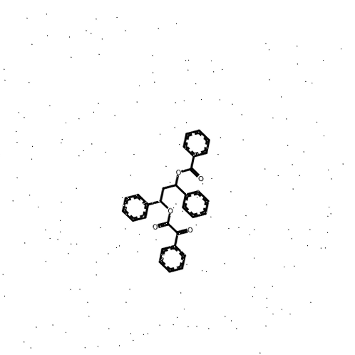 O=C(OC(CC(OC(=O)c1ccccc1)c1ccccc1)c1ccccc1)C(=O)c1ccccc1